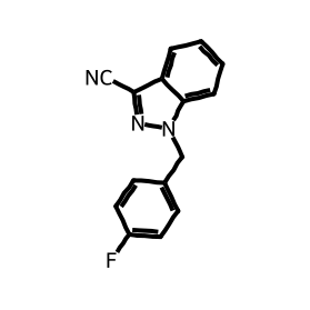 N#Cc1nn(Cc2ccc(F)cc2)c2ccccc12